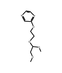 COCC(OC)OCCOc1cnccp1